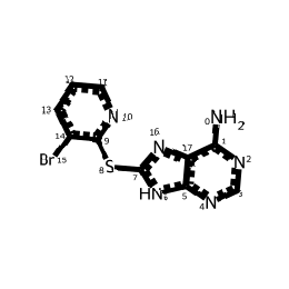 Nc1ncnc2[nH]c(Sc3ncccc3Br)nc12